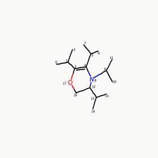 CC(C)C1=C(C(C)C)N(C(C)C)C(C(C)C)CO1